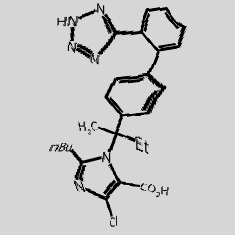 CCCCc1nc(Cl)c(C(=O)O)n1C(C)(CC)c1ccc(-c2ccccc2-c2nn[nH]n2)cc1